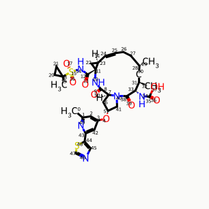 Cc1cc(O[C@@H]2C[C@H]3C(=O)N[C@]4(C(=O)NS(=O)(=O)C5(C)CC5)C[C@H]4/C=C\CC[C@H](C)C[C@@H](C)[C@H](NC(=O)O)C(=O)N3C2)cc(-c2cncs2)n1